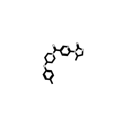 Cc1ccc(OC2CCN(C(=O)c3ccc(N4C(=O)OCC4C)nc3)CC2)cc1